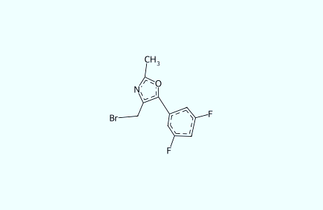 Cc1nc(CBr)c(-c2cc(F)cc(F)c2)o1